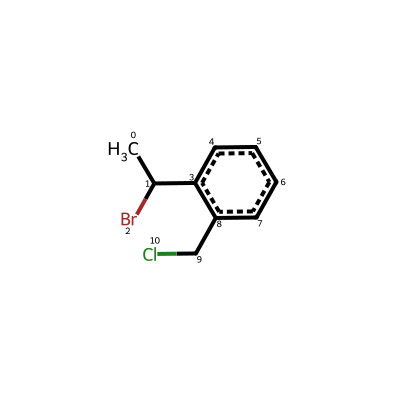 CC(Br)c1ccccc1CCl